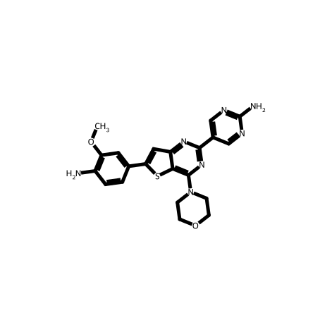 COc1cc(-c2cc3nc(-c4cnc(N)nc4)nc(N4CCOCC4)c3s2)ccc1N